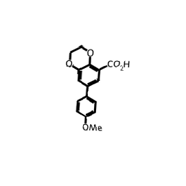 COc1ccc(-c2cc3c(c(C(=O)O)c2)OCCO3)cc1